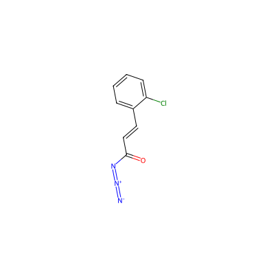 [N-]=[N+]=NC(=O)C=Cc1ccccc1Cl